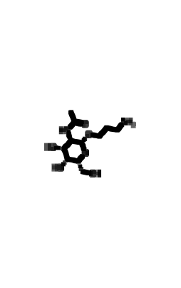 CC(=O)N[C@H]1[C@H](OCCCN)O[C@H](CO)[C@H](O)[C@@H]1O